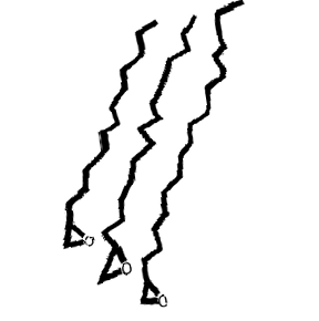 CCCCCCCCCCCCC1CO1.CCCCCCCCCCCCCCC1CO1.CCCCCCCCCCCCCCCCC1CO1